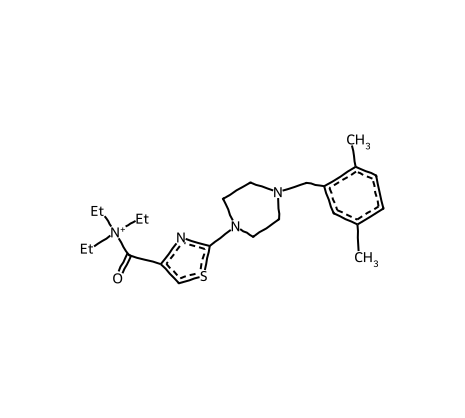 CC[N+](CC)(CC)C(=O)c1csc(N2CCN(Cc3cc(C)ccc3C)CC2)n1